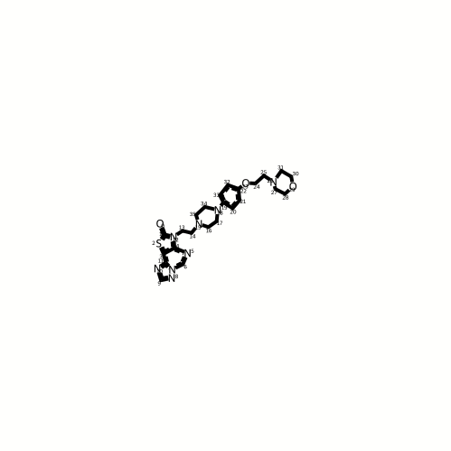 O=c1sc2c(ncn3ncnc23)n1CCN1CCN(c2ccc(OCCN3CCOCC3)cc2)CC1